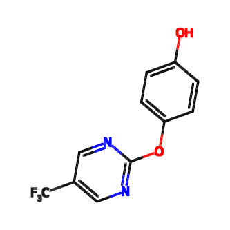 Oc1ccc(Oc2ncc(C(F)(F)F)cn2)cc1